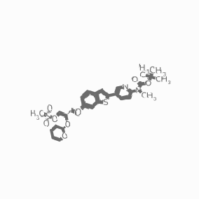 CN(C(=O)OC(C)(C)C)c1ccc(-c2cc3ccc(OC[C@@H](COS(C)(=O)=O)O[C@@H]4CCCCO4)cc3s2)cn1